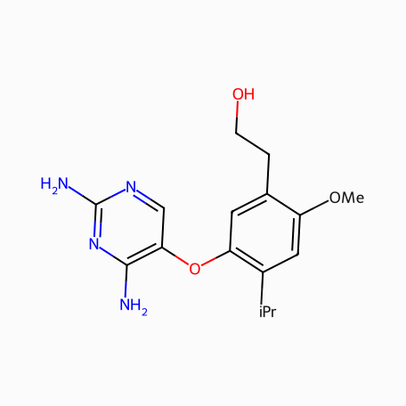 COc1cc(C(C)C)c(Oc2cnc(N)nc2N)cc1CCO